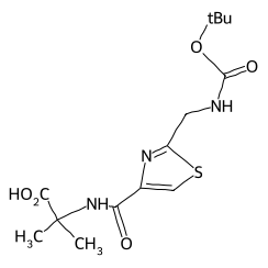 CC(C)(C)OC(=O)NCc1nc(C(=O)NC(C)(C)C(=O)O)cs1